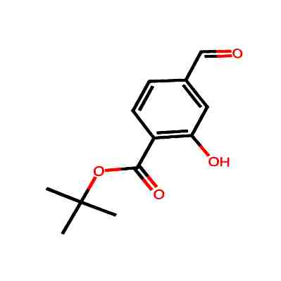 CC(C)(C)OC(=O)c1ccc(C=O)cc1O